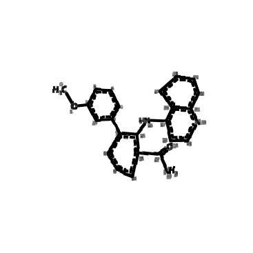 COc1cccc(-c2cccc(C(N)=O)c2Nc2ccnc3ccccc23)c1